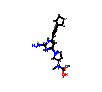 CN(C(=O)O)[C@@H]1CCN(c2cc(C#CC3CCCC3)nc(N)n2)C1